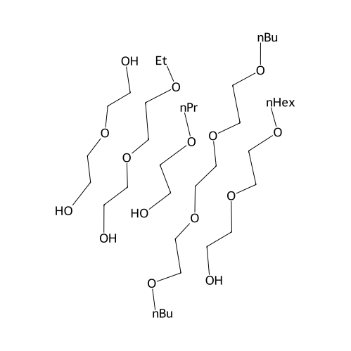 CCCCCCOCCOCCO.CCCCOCCOCCOCCOCCCC.CCCOCCO.CCOCCOCCO.OCCOCCO